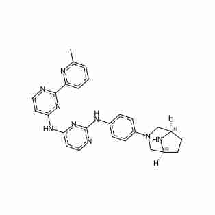 Cc1cccc(-c2nccc(Nc3ccnc(Nc4ccc(N5C[C@H]6CC[C@@H](C5)N6)cc4)n3)n2)n1